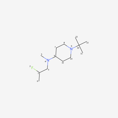 CC(F)CN(C)C1CCN(C(C)(C)C)CC1